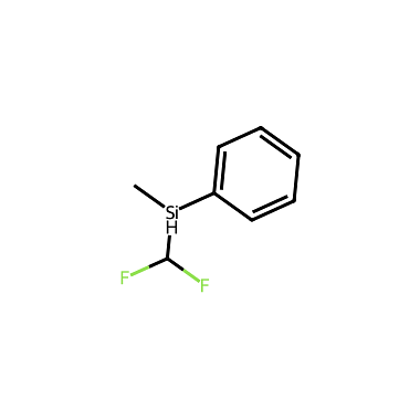 C[SiH](c1ccccc1)C(F)F